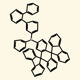 c1ccc(-c2ccccc2-c2cccc(N(c3ccccc3)c3ccc4c(c3)C3(c5ccccc5-c5ccccc53)c3ccccc3C43c4ccccc4-c4ccccc43)c2)cc1